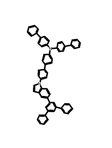 c1ccc(-c2ccc(N(c3ccc(-c4ccccc4)cc3)c3ccc(-c4ccc(-n5ccc6cc(-c7cc(-c8ccccc8)cc(-c8ccccc8)c7)ccc65)cc4)cc3)cc2)cc1